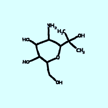 CC(C)(O)C1OC(CO)C(O)C(O)C1N